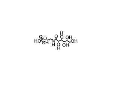 O=C(NCCOP(=O)(O)O)[C@H](O)[C@@H](O)[C@@H](O)[C@H](O)CO